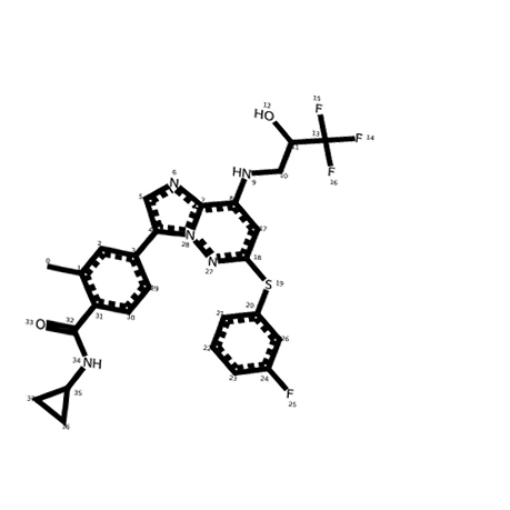 Cc1cc(-c2cnc3c(NCC(O)C(F)(F)F)cc(Sc4cccc(F)c4)nn23)ccc1C(=O)NC1CC1